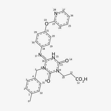 Cc1ccc(Cn2c(=O)n(CCC(=O)O)c(=O)[nH]/c2=N\c2ccc(Oc3ccccn3)cc2)cc1